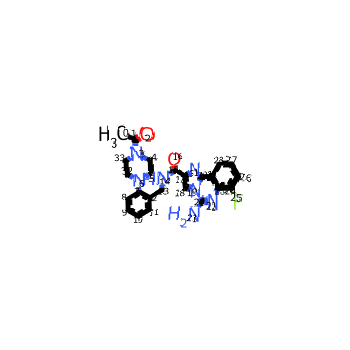 CC(=O)N1CCN(c2ccccc2CNC(=O)c2cn3c(N)nc4c(F)cccc4c3n2)CC1